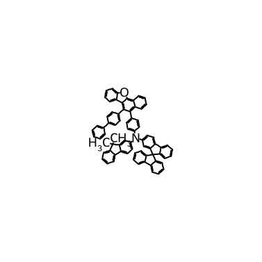 CC1(C)c2ccccc2-c2ccc(N(c3ccc(-c4c(-c5ccc(-c6ccccc6)cc5)c5c6ccccc6oc5c5ccccc45)cc3)c3ccc4c(c3)C3(c5ccccc5-c5ccccc53)c3ccccc3-4)cc21